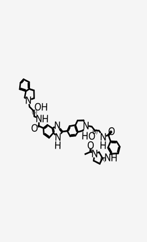 CC(=O)N1CC[C@@H](Nc2cccc(C(=O)NC[C@H](O)CN3CCc4cc(-c5nc6cc(C(=O)NC[C@H](O)CN7CCc8ccccc8C7)ccc6[nH]5)ccc4C3)c2)C1